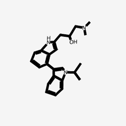 CC(C)n1cc(-c2cccc3[nH]c(CC(O)CN(C)C)[c]c23)c2ccccc21